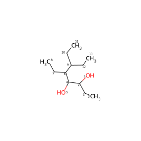 CCC(O)C(O)C(CC)C(CC)CC